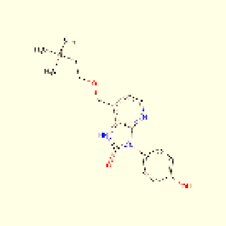 C[Si](C)(C)CCOCc1ccnc2c1[nH]c(=O)n2-c1ccc(O)cc1